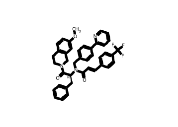 COc1ccc2c(c1)CN(C(=O)[C@H](Cc1ccccc1)N(Cc1ccc(-c3ccccn3)cc1)C(=O)C=Cc1ccc(C(F)(F)F)cc1)CC2